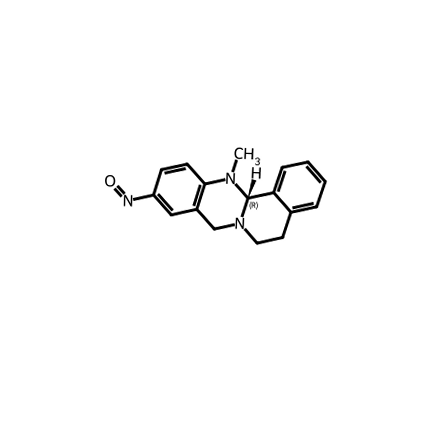 CN1c2ccc(N=O)cc2CN2CCc3ccccc3[C@H]21